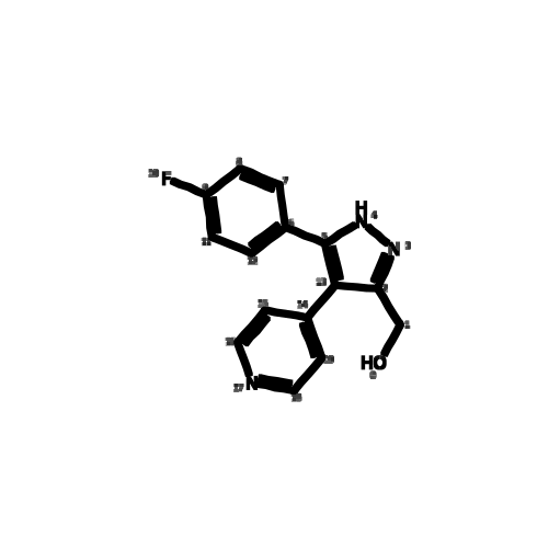 OCc1n[nH]c(-c2ccc(F)cc2)c1-c1ccncc1